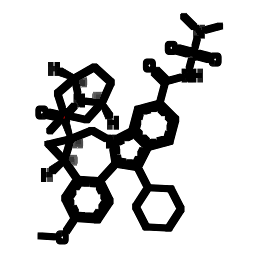 COc1ccc2c(c1)[C@@H]1C[C@]1(C(=O)N1[C@@H]3CC[C@H]1CN(C)C3)Cn1c-2c(C2CCCCC2)c2ccc(C(=O)NS(=O)(=O)N(C)C)cc21